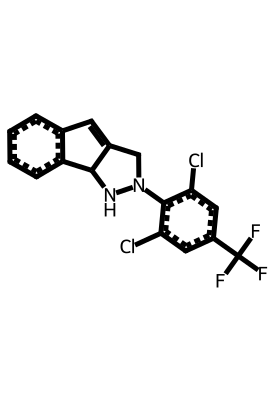 FC(F)(F)c1cc(Cl)c(N2CC3=Cc4ccccc4C3N2)c(Cl)c1